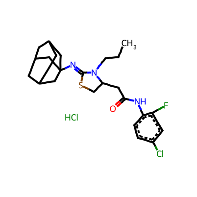 CCCN1C(=NC23CC4CC(CC(C4)C2)C3)SCC1CC(=O)Nc1ccc(Cl)cc1F.Cl